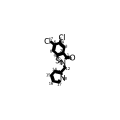 O=c1c2cc(Cl)c(Cl)cc2sn1Cc1ccccn1